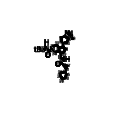 Cn1nnc2ccc(-c3ccc(CNC(=O)C4C[C@@H]4c4ccccc4)c4c3CCN(C(=O)NC(C)(C)C)C4)cc21